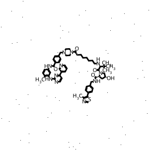 Cc1ccc(NC(=O)c2ccc(CN3CCN(C(=O)CCCCCCCN[C@H](C(=O)N4C[C@H](O)C[C@H]4C(=O)NCc4ccc(-c5scnc5C)cc4)C(C)(C)C)CC3)cc2)cc1Nc1nccc(-c2cccnc2)n1